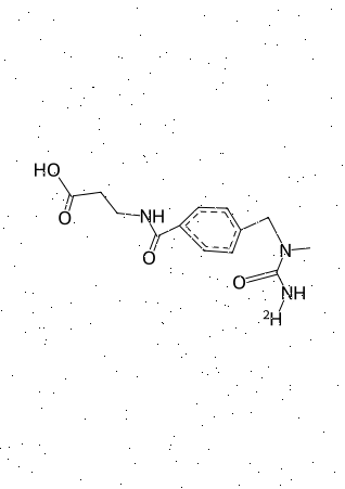 [2H]NC(=O)N(C)Cc1ccc(C(=O)NCCC(=O)O)cc1